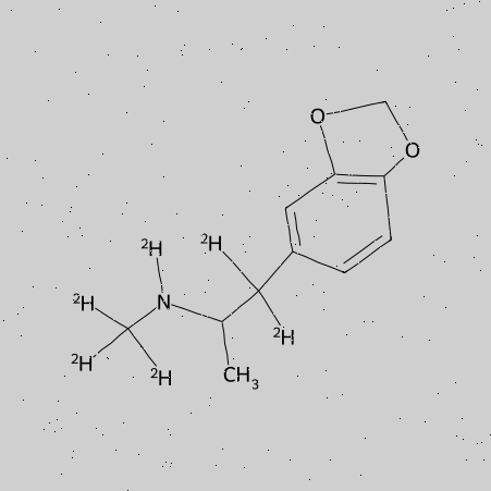 [2H]N(C(C)C([2H])([2H])c1ccc2c(c1)OCO2)C([2H])([2H])[2H]